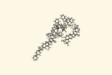 CC(=O)O[C@H]1C(=O)[C@@]2(C)[C@H]([C@H](OC(=O)c3ccccc3)[C@]3(O)C[C@H](OC(=O)[C@H](O)[C@@H](NC(=O)c4ccccc4)c4ccccc4)C(C)=C1C3(C)C)[C@]1(OC(C)=O)CO[C@@H]1C[C@@H]2O.CC[C@@]1(O)C(=O)OCc2c1cc1n(c2=O)Cc2cc3c(CN(C)C)c(O)ccc3nc2-1.CCc1c2c(nc3ccc(OC(=O)N4CCC(N5CCCCC5)CC4)cc13)-c1cc3c(c(=O)n1C2)COC(=O)[C@]3(O)CC